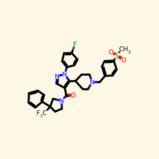 CS(=O)(=O)c1ccc(CN2CCC(c3c(C(=O)N4CCC(c5ccccc5)(C(F)(F)F)C4)cnn3-c3ccc(F)cc3)CC2)cc1